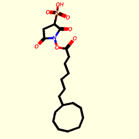 O=C(CCCCCCC1CCCCCCCC1)ON1C(=O)CC(S(=O)(=O)O)C1=O